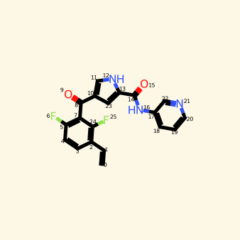 C=Cc1ccc(F)c(C(=O)c2c[nH]c(C(=O)Nc3cccnc3)c2)c1F